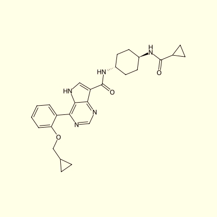 O=C(N[C@H]1CC[C@H](NC(=O)C2CC2)CC1)c1c[nH]c2c(-c3ccccc3OCC3CC3)ncnc12